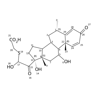 C[C@H]1CC2C(C(O)C[C@@]3(C)C2CC[C@]3(O)C(=O)C(O)SCC(=O)O)[C@@]2(C)C=CC(=O)C=C12